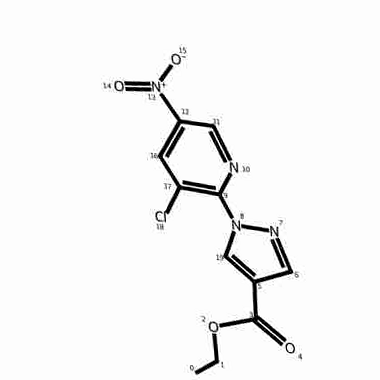 CCOC(=O)c1cnn(-c2ncc([N+](=O)[O-])cc2Cl)c1